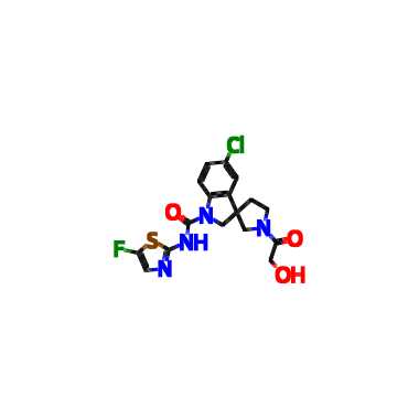 O=C(CO)N1CCC2(C1)CN(C(=O)Nc1ncc(F)s1)c1ccc(Cl)cc12